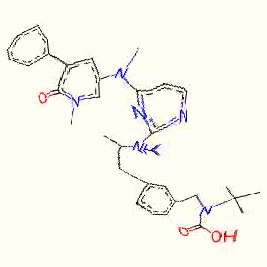 CC(Cc1cccc(CN(C(=O)O)C(C)(C)C)c1)Nc1nccc(N(C)c2cc(-c3ccccc3)c(=O)n(C)c2)n1